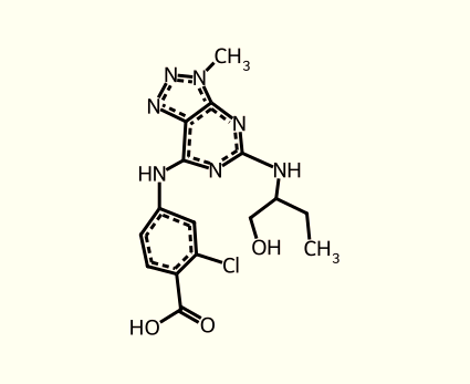 CCC(CO)Nc1nc(Nc2ccc(C(=O)O)c(Cl)c2)c2nnn(C)c2n1